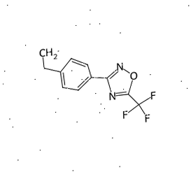 [CH2]Cc1ccc(-c2noc(C(F)(F)F)n2)cc1